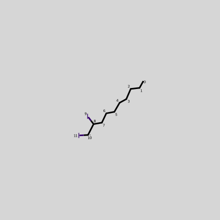 CCCCCCCCC(I)[CH]I